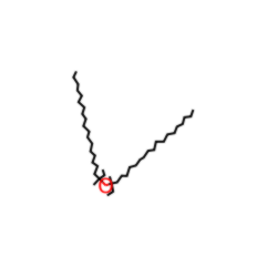 CCCCCCCCCCCCCCCCCCC(C)(CC)OC(C)(CC)CCCCCCCCCCCCCCCCCC